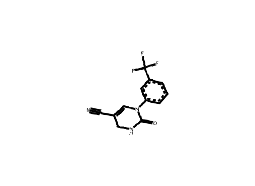 N#CC1=CN(c2cccc(C(F)(F)F)c2)C(=O)NC1